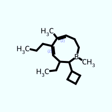 CCCC1=C/C(CC)C(C2CCC2)B(C)CC/C=C\1C